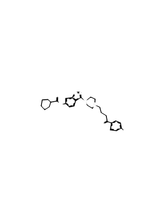 O=C(CCCN1CCN(c2noc3cc(OC(=O)C4CCCCC4)ccc23)CC1)c1ccc(F)cc1